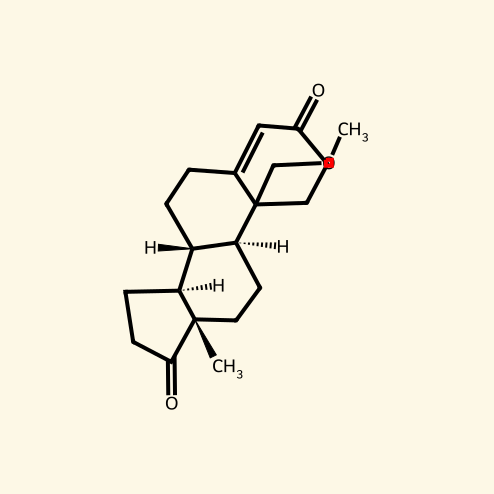 COCC12CCC(=O)C=C1CC[C@@H]1[C@@H]2CC[C@]2(C)C(=O)CC[C@@H]12